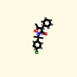 Cc1on(C(C)(C)c2ccc(Cl)cc2)c(=O)c1-c1ccccc1